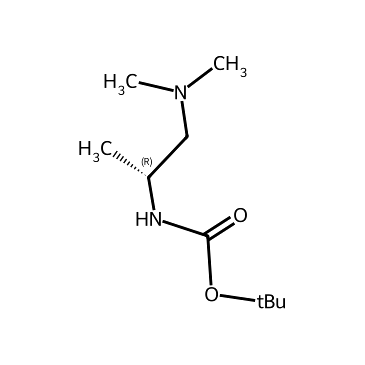 C[C@H](CN(C)C)NC(=O)OC(C)(C)C